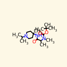 CC(C)N1CCC(C)(NC(=O)C(C)N(C)C(=O)OC(C)(C)C)CC1